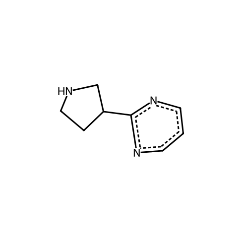 c1cnc(C2CCNC2)nc1